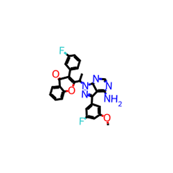 COc1cc(F)cc(-c2nn(C(C)c3oc4ccccc4c(=O)c3-c3cccc(F)c3)c3ncnc(N)c23)c1